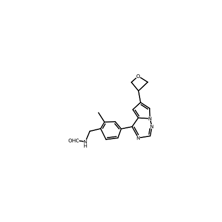 Cc1cc(-c2ncnn3cc(C4COC4)cc23)ccc1CNC=O